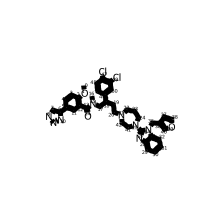 COc1ccc(C2C=NN=N2)cc1C(=O)N(C)CC(CCN1CCCN(c2nc3ccccc3n2Cc2ccoc2)CC1)c1ccc(Cl)c(Cl)c1